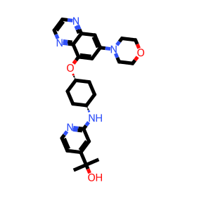 CC(C)(O)c1ccnc(N[C@H]2CC[C@@H](Oc3cc(N4CCOCC4)cc4nccnc34)CC2)c1